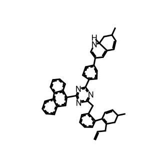 C=CCC1=C(c2ccccc2Cc2nc(-c3ccc(C4=CNC5(C)CC(C)C=CC5=C4)cc3)nc(-c3cc4ccccc4c4ccccc34)n2)C=CC(C)C1